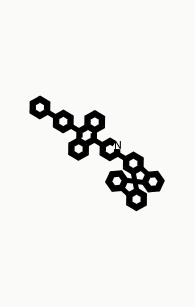 c1ccc(-c2ccc(-c3c4ccccc4c(-c4ccc(-c5ccc6c(c5)C5(c7ccccc7-c7ccccc75)c5ccccc5-6)nc4)c4ccccc34)cc2)cc1